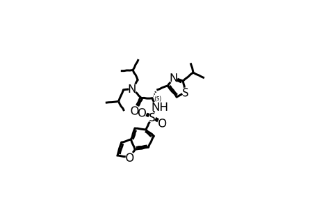 CC(C)CN(CC(C)C)C(=O)[C@H](Cc1csc(C(C)C)n1)NS(=O)(=O)c1ccc2occc2c1